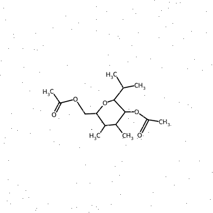 CC(=O)OCC1OC(C(C)C)C(OC(C)=O)C(C)C1C